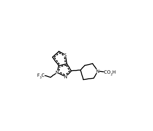 O=C(O)N1CCC(c2nn(CC(F)(F)F)c3ccsc23)CC1